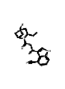 CCC1CC2(O)CC(C2)N1C(=O)CC(C)c1c[nH]c2cccc(C#N)c12